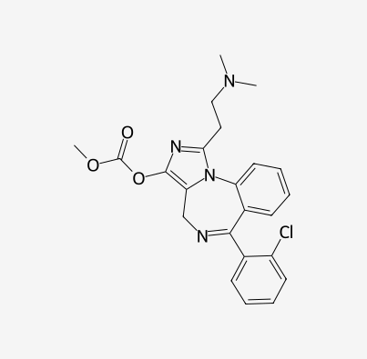 COC(=O)Oc1nc(CCN(C)C)n2c1CN=C(c1ccccc1Cl)c1ccccc1-2